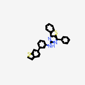 c1ccc(-c2nc(Nc3cccc(-c4ccc5ccsc5c4)c3)nc3c2sc2ccccc23)cc1